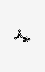 c1ccc(-c2ccc(N(c3ccc(-c4ccccc4)cc3)c3ccc(-c4ccc5c(c4)c4ccccc4c4nc(-c6ccccc6)oc54)cc3)cc2)cc1